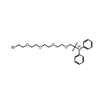 CC(C)(COCCOCCOCCOCCBr)[SiH](c1ccccc1)c1ccccc1